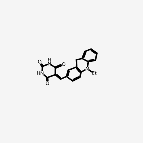 CCN1c2ccccc2Cc2cc(C=C3C(=O)NC(=O)NC3=O)ccc21